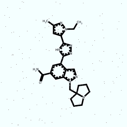 CCn1nc(C)cc1-c1nnc(-c2cc(C(N)=O)cc3c2cnn3CC23CCCN2CCC3)[nH]1